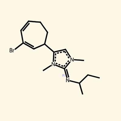 CCC(C)/N=c1\n(C)cc(C2C=C(Br)C=CCC2)n1C